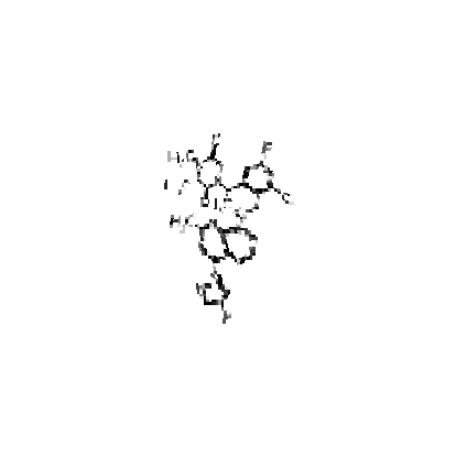 Cc1cc(-n2cc(F)cn2)c2cccc(OCc3c(Cl)cc(F)cc3[C@H](C)N3CC(=O)N(C)[C@@H](C)C3=O)c2n1